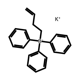 C=CCC[B-](c1ccccc1)(c1ccccc1)c1ccccc1.[K+]